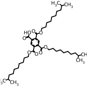 CC(C)CCCCCCCCOC(=O)c1cc(C(=O)OCCCCCCCCC(C)C)c(C(=O)OCCCCCCCCC(C)C)cc1C(=O)O